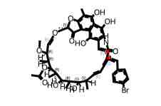 CO[C@H]1/C=C/O[C@@]2(C)Oc3c(C)c(O)c4c(O)c(c(/C=N/OCc5ccc(Br)cc5)c(O)c4c3C2=O)NC(=O)/C(C)=C\C=C\[C@H](C)[C@H](O)[C@@H](C)[C@@H](O)[C@@H](C)[C@H](OC(C)=O)[C@@H]1C